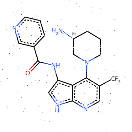 N[C@@H]1CCCN(c2c(C(F)(F)F)cnc3[nH]cc(NC(=O)c4cccnc4)c23)C1